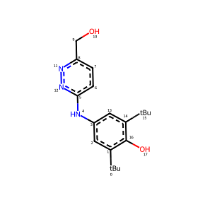 CC(C)(C)c1cc(Nc2ccc(CO)nn2)cc(C(C)(C)C)c1O